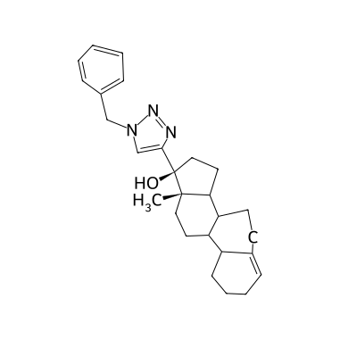 C[C@]12CCC3C4CCCC=C4CCC3C1CC[C@@]2(O)c1cn(Cc2ccccc2)nn1